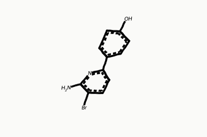 Nc1nc(-c2ccc(O)cc2)ccc1Br